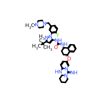 CN1CCN(Cc2ccc(F)c(-n3nc(C(C)(C)C)cc3NC(=O)N[C@H]3CC[C@@H](Oc4ccc(=N)n(C(=N)N5CCCCC5)c4)c4ccccc43)c2)CC1